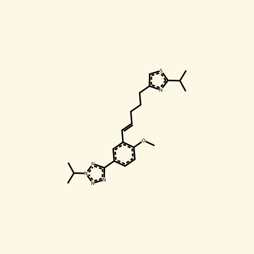 COc1ccc(-c2nnn(C(C)C)n2)cc1/C=C/CCCc1csc(C(C)C)n1